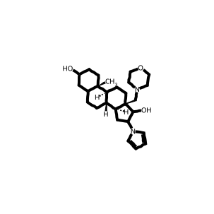 C[C@]12CCC(O)CC1CC[C@H]1[C@@H]3CC(n4cccc4)C(O)[C@@]3(CN3CCOCC3)CC[C@@H]12